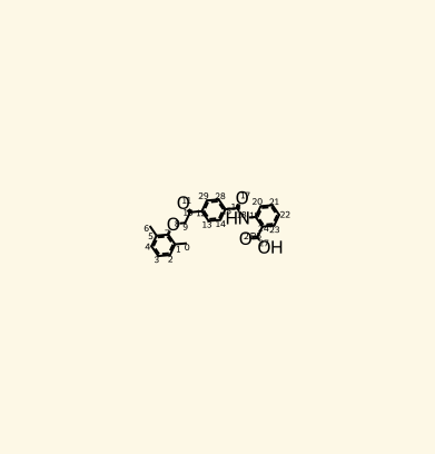 Cc1cccc(C)c1OCC(=O)c1ccc(C(=O)Nc2ccccc2C(=O)O)cc1